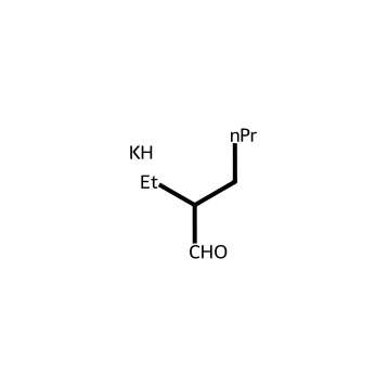 CCCCC(C=O)CC.[KH]